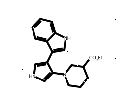 CCOC(=O)C1CCCN(c2c[nH]cc2-c2c[nH]c3ccccc23)C1